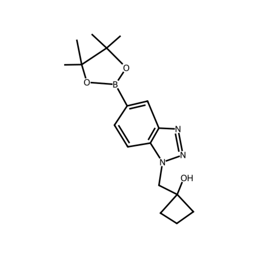 CC1(C)OB(c2ccc3c(c2)nnn3CC2(O)CCC2)OC1(C)C